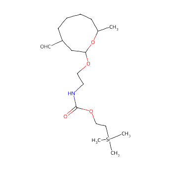 CC1CCCCC(C=O)CC(OCCNC(=O)OCC[Si](C)(C)C)O1